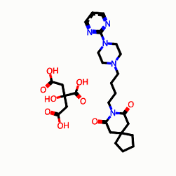 O=C(O)CC(O)(CC(=O)O)C(=O)O.O=C1CC2(CCCC2)CC(=O)N1CCCCN1CCN(c2ncccn2)CC1